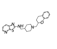 c1ccc2c(c1)CCC(CN1CCC(CNc3nc4cccnc4s3)CC1)O2